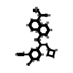 N#Cc1cc(C(CN2CCC2)Nc2ncnc3c(C(N)=O)cccc23)ccc1F